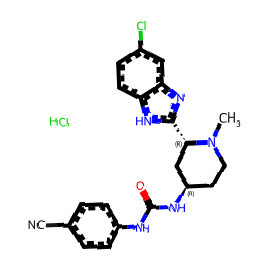 CN1CC[C@@H](NC(=O)Nc2ccc(C#N)cc2)C[C@@H]1c1nc2cc(Cl)ccc2[nH]1.Cl